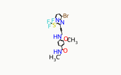 CCNC(=O)c1ccc(NCC#Cc2nc3c(Br)cccn3c2SC(F)(F)F)c(OC)c1